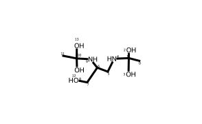 CC(O)(O)NCC(CO)NC(C)(O)O